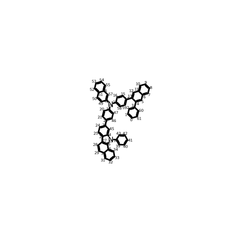 c1ccc(-c2cc3ccccc3cc2-c2ccc(N(c3ccc(-c4ccc5c6ccc7ccccc7c6n(-c6ccccc6)c5c4)cc3)c3ccc4ccccc4c3)cc2)cc1